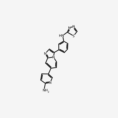 Nc1ccc(-c2ccn3c(-c4cccc(Nc5nncs5)c4)cnc3c2)cn1